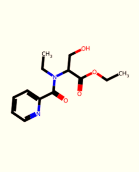 CCOC(=O)C(CO)N(CC)C(=O)c1ccccn1